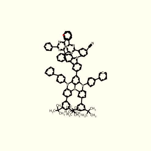 CC(C)(C)c1cc(-c2ccc3c(c2)B2c4cc(-c5cc(C(C)(C)C)cc(C(C)(C)C)c5)ccc4N(c4ccc(-c5ccccc5)cc4)c4cc(-c5ccc6c(c5)c5ccc(-c7nc(-c8ccccc8)nc(-c8ccccc8)n7)cc5n6-c5ccc(C#N)cc5-c5nc(-c6ccccc6)nc(-c6ccccc6)n5)cc(c42)N3c2ccc(-c3ccccc3)cc2)cc(C(C)(C)C)c1